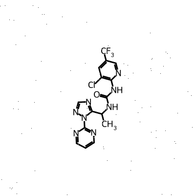 CC(NC(=O)Nc1ncc(C(F)(F)F)cc1Cl)c1ncnn1-c1ncccn1